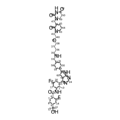 Cc1c(NC(=O)c2ccc(C(C)(C)O)cc2F)cc(F)cc1-c1ncnc2[nH]c(-c3ccc(CNCCCCOCCn4cccc(CN5CCC(=O)NC5=O)c4=O)cc3)cc12